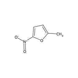 Cc1ccc([N+](=O)[O-])o1